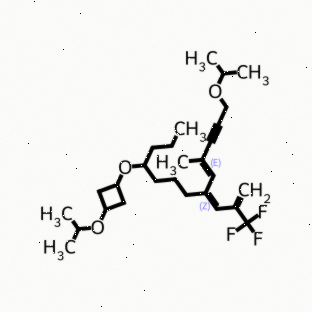 C=C(/C=C(\C=C(/C)C#CCOC(C)C)CCCC(CCC)OC1CC(OC(C)C)C1)C(F)(F)F